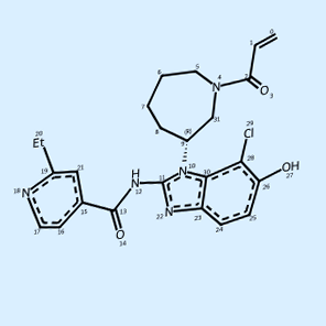 C=CC(=O)N1CCCC[C@@H](n2c(NC(=O)c3ccnc(CC)c3)nc3ccc(O)c(Cl)c32)C1